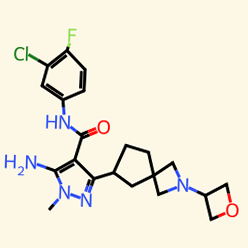 Cn1nc(C2CCC3(C2)CN(C2COC2)C3)c(C(=O)Nc2ccc(F)c(Cl)c2)c1N